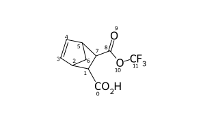 O=C(O)C1C2C=CC(C2)C1C(=O)OC(F)(F)F